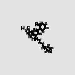 Cc1cnn2c(NCCCCn3ccnc3)cc(-c3ccccc3F)nc12